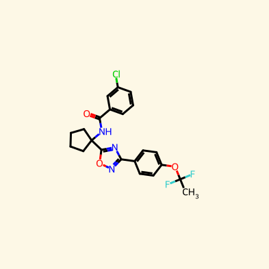 CC(F)(F)Oc1ccc(-c2noc(C3(NC(=O)c4cccc(Cl)c4)CCCC3)n2)cc1